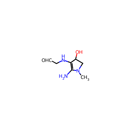 CN1CC(O)C(NCC=O)=C1N